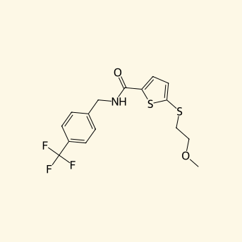 COCCSc1ccc(C(=O)NCc2ccc(C(F)(F)F)cc2)s1